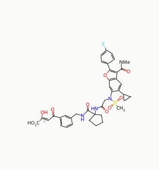 CNC(=O)c1c(-c2ccc(F)cc2)oc2cc(N(CC(=O)NC3(C(=O)NCc4cccc(C(=O)/C=C(\O)C(=O)O)c4)CCCC3)S(C)(=O)=O)c(C3CC3)cc12